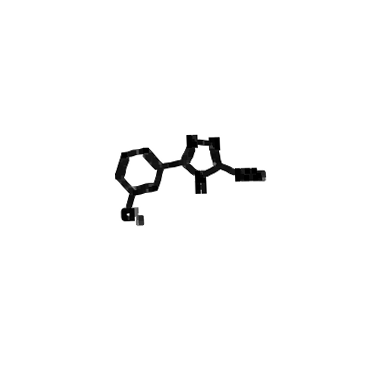 CNc1nnc(-c2cccc(C(F)(F)F)c2)[nH]1